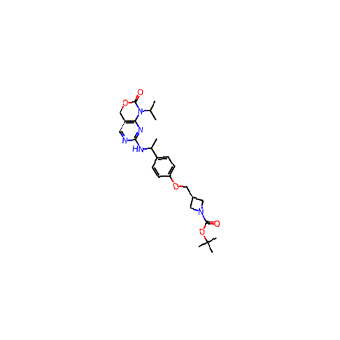 CC(Nc1ncc2c(n1)N(C(C)C)C(=O)OC2)c1ccc(OCC2CN(C(=O)OC(C)(C)C)C2)cc1